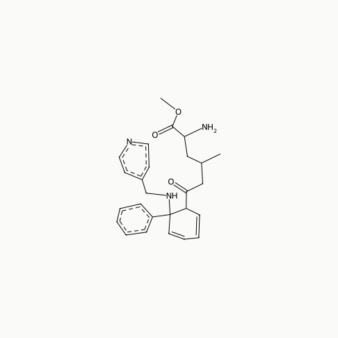 COC(=O)C(N)CC(C)CC(=O)C1C=CC=CC1(NCc1ccncc1)c1ccccc1